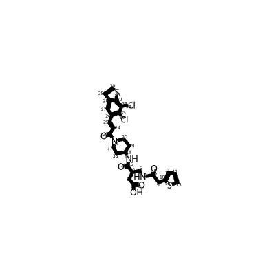 O=C(O)CC(CNC(=O)Cc1cccs1)C(=O)NC1CCN(C(=O)/C=C/c2cc3ccsc3c(Cl)c2Cl)CC1